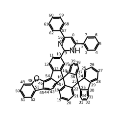 C1=C(c2ccccc2)NC(c2ccc3c(c2)C2(c4ccccc4C4(c5ccccc5-c5ccccc54)c4ccccc42)c2ccc4c(oc5ccccc54)c2-3)N=C1c1ccccc1